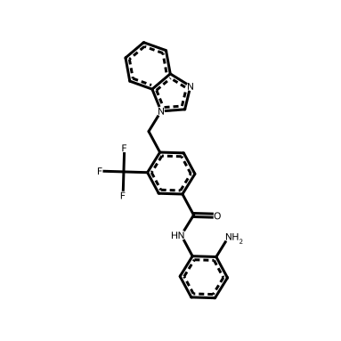 Nc1ccccc1NC(=O)c1ccc(Cn2cnc3ccccc32)c(C(F)(F)F)c1